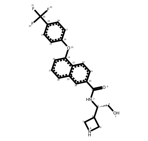 O=C(N[C@H](CO)C1CNC1)c1ccc2c(Oc3ccc(C(F)(F)F)cc3)cccc2c1